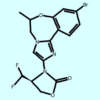 CC1Cn2cc(N3C(=O)OC[C@H]3C(F)F)nc2-c2ccc(Br)cc2O1